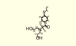 CCSc1ccc(C(=O)C(C)(C)N(CCO)CCO)cc1